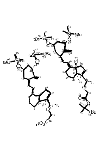 C=C1C(=CC=C2CCC[C@]3(C)C([C@H](C)OCC(=O)O)=CCC23)C[C@@H](O[Si](C)(C)C(C)(C)C)C[C@@H]1O[Si](C)(C)C(C)(C)C.C=C1C(=CC=C2CCC[C@]3(C)C([C@H](C)OCC(=O)OC(C)(C)C(C)(C)C)=CC[C@@H]23)C[C@@H](O[Si](C)(C)C(C)(C)C)C[C@@H]1O[Si](C)(C)C(C)(C)C